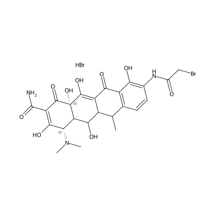 Br.CC1c2ccc(NC(=O)CBr)c(O)c2C(=O)C2=C(O)[C@]3(O)C(=O)C(C(N)=O)=C(O)[C@@H](N(C)C)C3C(O)C21